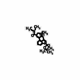 CCN(CC)C(=O)[C@@H]1C=C2c3cccc4c3c(cn4C(=O)OC(C)(C)C)C[C@H]2N(C)C1